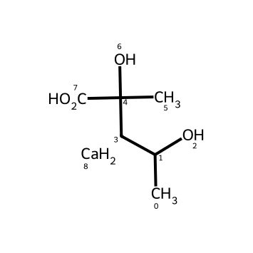 CC(O)CC(C)(O)C(=O)O.[CaH2]